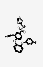 N#Cc1cc(S(=O)(=O)Nc2ncns2)ccc1Oc1ccccc1Oc1ccc(F)cc1